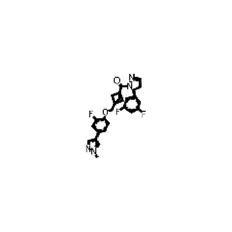 Cn1cc(-c2ccc(OCC34CC(C(=O)N5N=CCC5c5cc(F)cc(F)c5)(C3)C4)c(F)c2)cn1